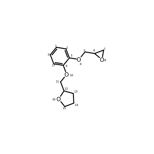 c1ccc(OCC2CO2)c(OCC2CCCO2)c1